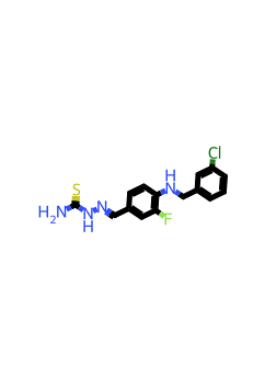 NC(=S)N/N=C/c1ccc(NCc2cccc(Cl)c2)c(F)c1